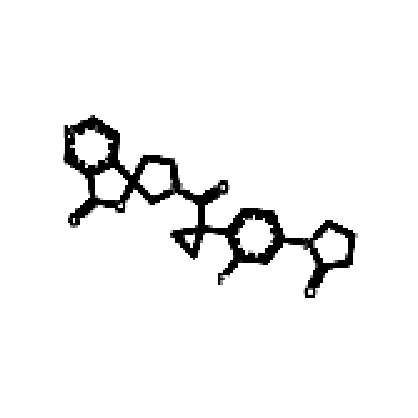 O=C1OC2(CCN(C(=O)C3(c4ccc(N5CCCC5=O)cc4F)CC3)C2)c2ccncc21